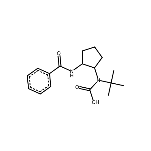 CC(C)(C)N(C(=O)O)C1CCCC1NC(=O)c1ccccc1